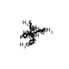 CCCN/C=C(\C=N)c1[nH]c(-c2ccc(F)cc2)nc1[C@H](CCCCCC(=O)CC)NC(=O)C1CC12CCN(CC)CC2